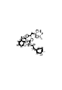 CN(C)CCOc1nc2ccccc2n1C(=O)NCCc1ccccc1